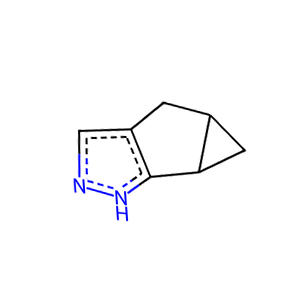 c1n[nH]c2c1CC1CC21